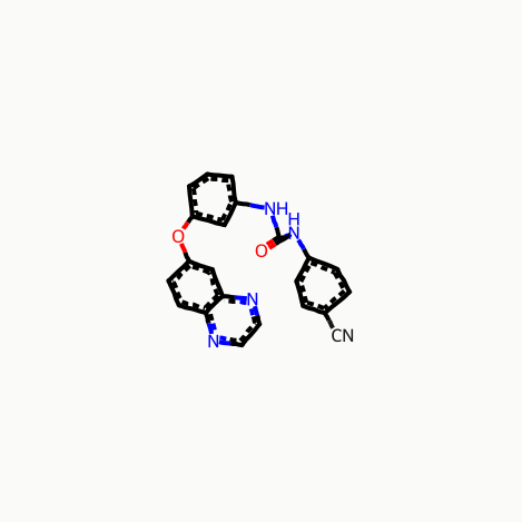 N#Cc1ccc(NC(=O)Nc2cccc(Oc3ccc4nccnc4c3)c2)cc1